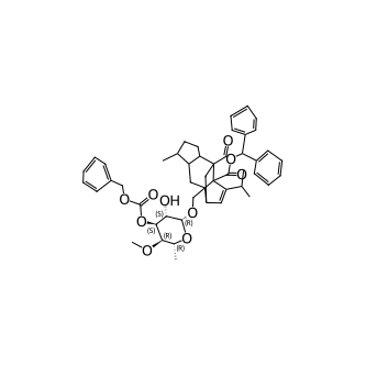 CO[C@H]1[C@@H](OC(=O)OCc2ccccc2)[C@H](O)[C@H](OCC23CC4C(C)CCC4C4(C=O)CC2C=C(C(C)C)C43C(=O)OC(c2ccccc2)c2ccccc2)O[C@@H]1C